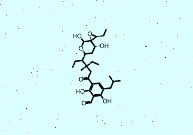 CCC(C1C[C@@H](O)[C@@]2(O[C@H]2CC)C(O)O1)C(C)(CC)CC(=O)c1cc(CC(C)C)c(O)c(C=O)c1O